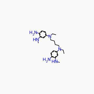 CCN(CCCCN(CC)c1ccc(N)c(NC)c1)c1ccc(N)c(NC)c1